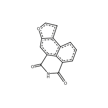 O=C1NC(=O)c2cc3occc3c3cccc1c23